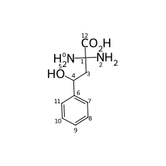 NC(N)(CC(O)c1ccccc1)C(=O)O